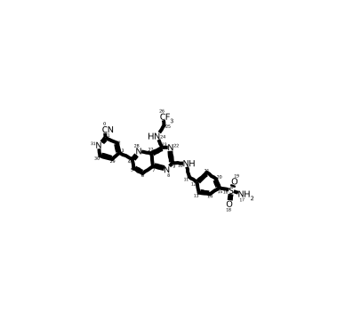 N#Cc1cc(-c2ccc3nc(NCc4ccc(S(N)(=O)=O)cc4)nc(NCC(F)(F)F)c3n2)ccn1